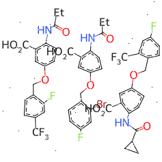 CCC(=O)Nc1ccc(OCc2ccc(C(F)(F)F)cc2F)cc1C(=O)O.CCC(=O)Nc1ccc(OCc2ccc(F)cc2Br)cc1C(=O)O.O=C(O)c1cc(OCc2ccc(F)cc2C(F)(F)F)ccc1NC(=O)C1CC1